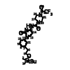 CC(C)(C)[Si](C)(C)OCCc1cccc(-n2ccc(NC(=O)N3CCN(C(=O)C(F)(F)F)CC3)nc2=O)c1